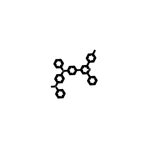 Cc1ccc(-c2cc(-c3ccc(N(c4ccccc4)c4ccc(N(C)c5ccccc5)cc4)cc3)cc(-c3ccccc3)n2)cc1